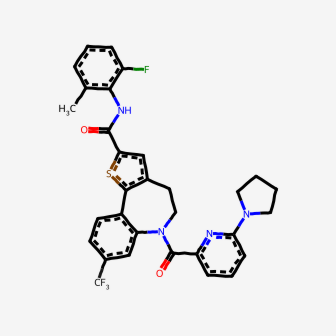 Cc1cccc(F)c1NC(=O)c1cc2c(s1)-c1ccc(C(F)(F)F)cc1N(C(=O)c1cccc(N3CCCC3)n1)CC2